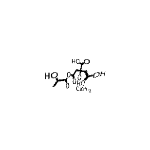 CC(O)C(=O)OC(=O)CC(O)(CC(=O)O)C(=O)O.[CaH2]